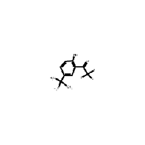 CC(C)(C)c1ccc(O)c(C(=O)C(F)(F)F)c1